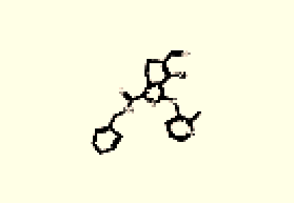 Cc1ncccc1Oc1sc(C(=O)NCC2=CCCC=C2)c2c1C(S)=C(C=N)CC2